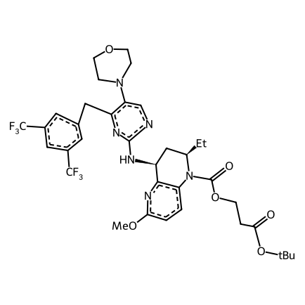 CC[C@@H]1C[C@H](Nc2ncc(N3CCOCC3)c(Cc3cc(C(F)(F)F)cc(C(F)(F)F)c3)n2)c2nc(OC)ccc2N1C(=O)OCCC(=O)OC(C)(C)C